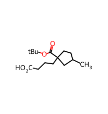 CC1CCC(CCCC(=O)O)(C(=O)OC(C)(C)C)C1